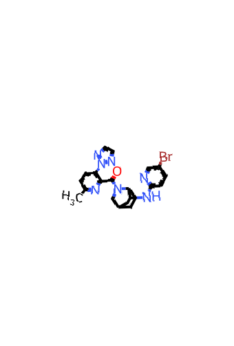 Cc1ccc(-n2nccn2)c(C(=O)N2CC3CCC2C(Nc2ccc(Br)cn2)C3)n1